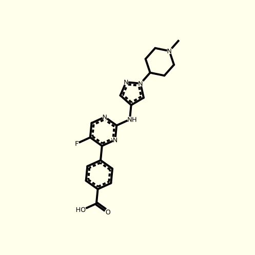 CN1CCC(n2cc(Nc3ncc(F)c(-c4ccc(C(=O)O)cc4)n3)cn2)CC1